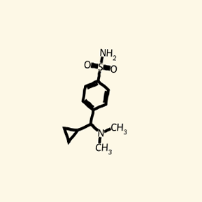 CN(C)C(c1ccc(S(N)(=O)=O)cc1)C1CC1